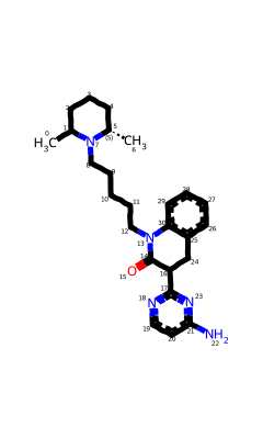 CC1CCC[C@H](C)N1CCCCCN1C(=O)C(c2nccc(N)n2)Cc2ccccc21